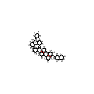 CC1(c2ccccc2)c2ccccc2-c2c(N(c3ccc(-c4ccc(-c5ccc6ccccc6c5)cc4)cc3)c3ccccc3-c3ccc(-c4ccccc4)cc3)cccc21